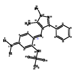 CC[N+](CC)=C1C=C/C(=N\c2c(-c3ccccc3)nn(C(C)C)c2N)C(NS(C)(=O)=O)=C1